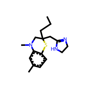 CCCC1(CC2=NCCN2)CN(C)c2cc(C)ccc2S1